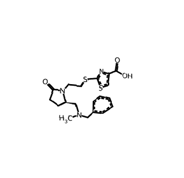 CN(Cc1ccccc1)C[C@H]1CCC(=O)N1CCSc1nc(C(=O)O)cs1